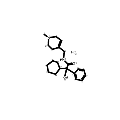 CN1CC=C(CNC(=O)C(O)(c2ccccc2)C2CCCCC2)CC1.Cl